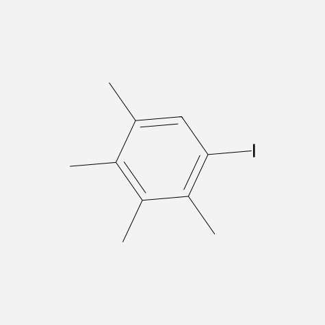 Cc1cc(I)c(C)c(C)c1C